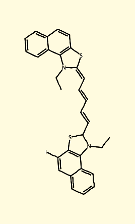 CCN1C(=CC=CC=CC2Sc3c(I)cc4ccccc4c3N2CC)Sc2ccc3ccccc3c21